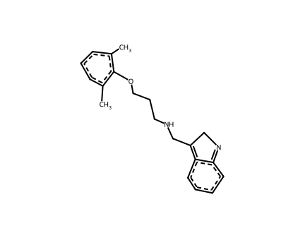 Cc1cccc(C)c1OCCCNCC1=c2ccccc2=NC1